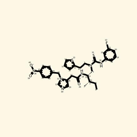 CC[C@H](C)[C@@H](CN(CCc1cccs1)C(=S)Nc1cccc(F)c1)NC(=O)Cc1cncn1Cc1ccc([N+](=O)[O-])cc1